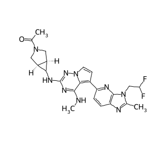 CNc1nc(NC2[C@H]3CN(C(C)=O)C[C@@H]23)nn2ccc(-c3ccc4nc(C)n(CC(F)F)c4n3)c12